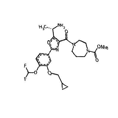 COC(=O)N1CCCN(C(=O)c2nc(-c3ccc(OC(F)F)c(OCC4CC4)c3)oc2[C@H](C)N)CC1